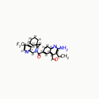 C[C@H]1OCc2c1c(N)nc1ccc(C(=O)N(Cc3ccc(C(F)(F)F)cn3)[C@@H]3CC34CCCCC4)cc21